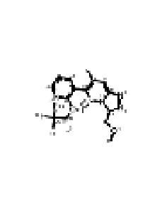 COCC1N=NC2=CC(C)=C(c3cccnc3O[C@H](C)C(F)(F)F)N(F)N21